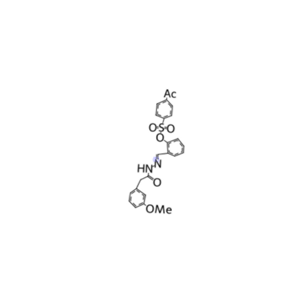 COc1cccc(CC(=O)N/N=C/c2ccccc2OS(=O)(=O)c2ccc(C(C)=O)cc2)c1